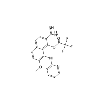 COc1ccc2ccc(C(=N)N)c(OC(=O)C(F)(F)F)c2c1Nc1ncccn1